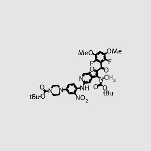 COc1cc(OC)c(F)c(C(=O)c2oc3cnc(Nc4ccc(N5CCN(C(=O)OC(C)(C)C)CC5)cc4[N+](=O)[O-])cc3c2N(C)C(=O)OC(C)(C)C)c1F